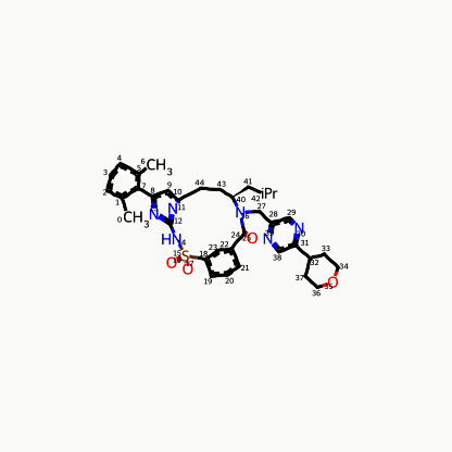 Cc1cccc(C)c1-c1cc2nc(n1)NS(=O)(=O)c1cccc(c1)C(=O)N(Cc1cnc(C3CCOCC3)cn1)[C@H](CC(C)C)CC2